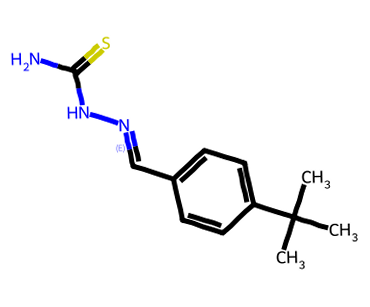 CC(C)(C)c1ccc(/C=N/NC(N)=S)cc1